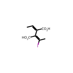 C/C=C(C(=O)O)\C(C(=O)O)=C(/C)I